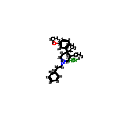 Br.COc1cccc([C@@]2(C)CCN(CCc3ccccc3)C[C@@H]2C)c1